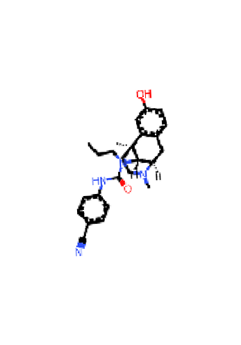 CCCN(C(=O)Nc1ccc(C#N)cc1)[C@H]1[C@H]2Cc3ccc(O)cc3[C@]1(C)CCN2C